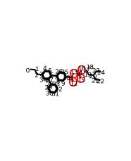 CCCc1ccc(-c2ccc(C(=O)OC(=O)O[C@H](C)CC(CC)CC)cc2)c(-c2ccccc2)c1